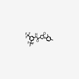 Cc1ccc(N2CC(C(=O)Nc3cc(C(F)(F)F)cc(C(F)(F)F)c3)CC2=O)c(C)c1